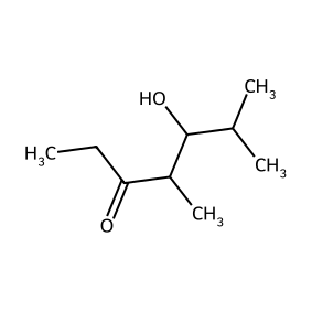 CCC(=O)C(C)C(O)C(C)C